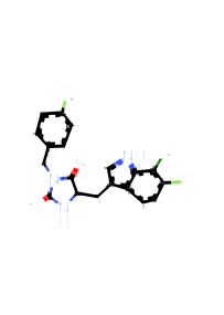 O=C1NC(Cc2c[nH]c3c(Cl)c(F)ccc23)C(=O)N1Cc1ccc(F)cc1